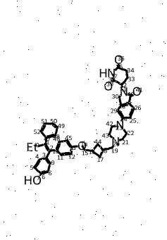 CCC(=C(c1ccc(O)cc1)c1ccc(OCC2CC(CN3CCN(c4ccc5c(c4)CN(C4CCC(=O)NC4=O)C5=O)CC3)C2)cc1)c1ccccc1